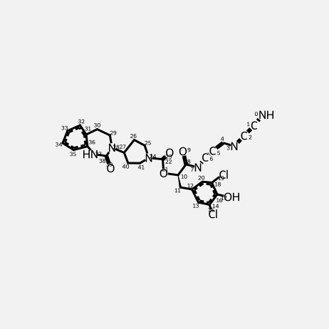 N=C=C=NC=C=C=NC(=O)[C@@H](Cc1cc(Cl)c(O)c(Cl)c1)OC(=O)N1CCC(N2CCc3ccccc3NC2=O)CC1